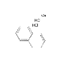 Cl.Cl.[Os].c1ccc2ccccc2c1